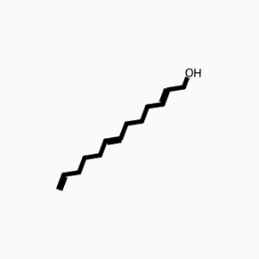 C=CCCCC=CCCCC=CCO